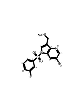 CNCc1cn(S(=O)(=O)c2cccc(F)c2)c2cc(Br)cnc12